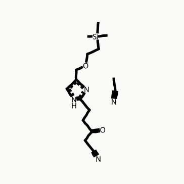 CC#N.C[Si](C)(C)CCOCc1c[nH]c(CCC(=O)CC#N)n1